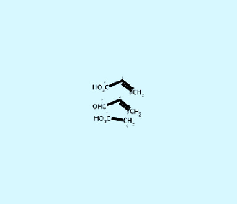 C=CC(=O)O.C=CC=O.CC(=O)O